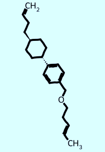 C=CCC[C@H]1CC[C@H](c2ccc(COCCC=CC)cc2)CC1